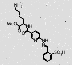 COC(=O)C(CCCCN)NC(=O)c1ccc(NN=Cc2ccccc2S(=O)(=O)O)nc1